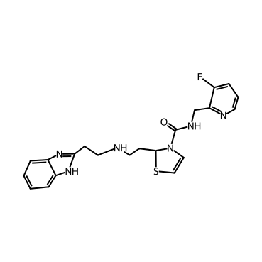 O=C(NCc1ncccc1F)N1C=CSC1CCNCCc1nc2ccccc2[nH]1